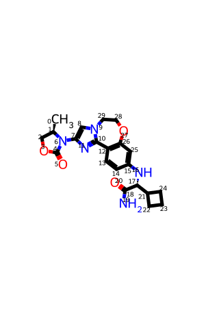 C[C@@H]1COC(=O)N1c1cn2c(n1)-c1ccc(N[C@@H](C(N)=O)C3CCC3)cc1OCC2